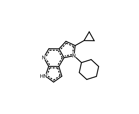 c1cc2c(ncc3cc(C4CC4)n(C4CCCCC4)c32)[nH]1